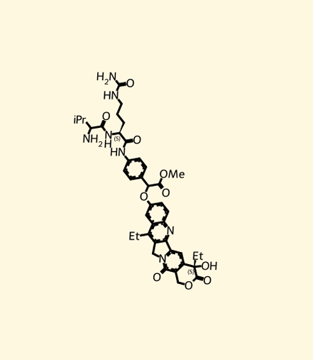 CCc1c2c(nc3ccc(OC(C(=O)OC)c4ccc(NC(=O)[C@H](CCCNC(N)=O)NC(=O)C(N)C(C)C)cc4)cc13)-c1cc3c(c(=O)n1C2)COC(=O)[C@]3(O)CC